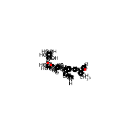 CC1(C)CCC(CN2CCN(c3ccc(C(=O)NS(=O)(=O)c4ccc(NCC5OC(COCC6C(CO)OC(O)C(O)C6O)C(O)C(O)C5O)c([N+](=O)[O-])c4)c(N4CCOc5nc6[nH]ccc6cc54)c3)CC2)=C(c2ccc(Cl)cc2)C1